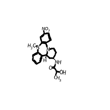 CC(O)C(=O)N[C@H]1CCN2c3ccc([N+](=O)[O-])cc3N(C)c3ccccc3[C@H]2C1